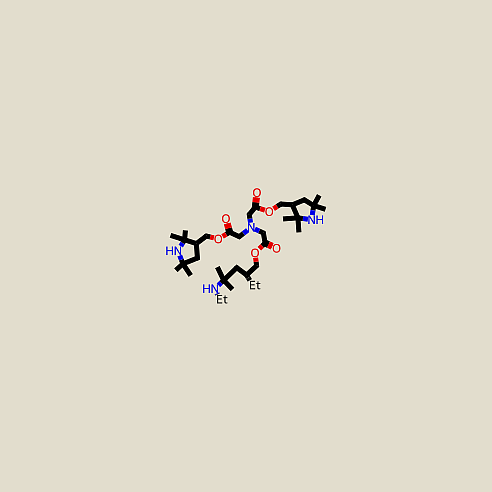 CCNC(C)(C)CC(CC)COC(=O)CN(CC(=O)OCC1CC(C)(C)NC1(C)C)CC(=O)OCC1CC(C)(C)NC1(C)C